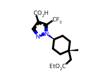 CCOC(=O)C[C@]1(C)CC[C@@H](n2ncc(C(=O)O)c2C(F)(F)F)CC1